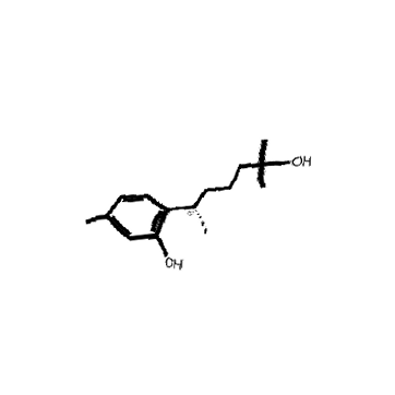 Cc1ccc([C@@H](C)CCCC(C)(C)O)c(O)c1